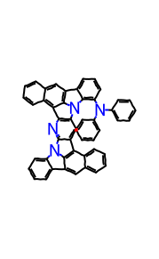 c1ccc(N(c2ccccc2)c2cccc3c4cc5ccccc5c5c6nc7c(cc6n(c23)c45)c2c3ccccc3cc3c4ccccc4n7c32)cc1